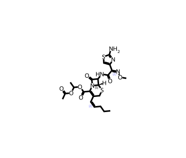 CCC/C=C\C1=C(C(=O)OC(C)OC(C)=O)N2C(=O)C(NC(=O)/C(=N\OC)c3csc(N)n3)[C@@H]2SC1